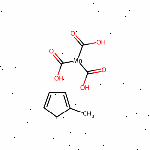 CC1=CC=C[CH]1.O=[C](O)[Mn]([C](=O)O)[C](=O)O